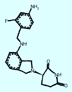 Nc1ccc(CNc2cccc3c2CN([C@@H]2CCC(=O)NC2=O)C3)c(F)c1